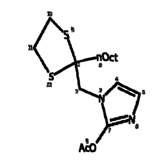 CCCCCCCCC1(Cn2ccnc2OC(C)=O)SCCS1